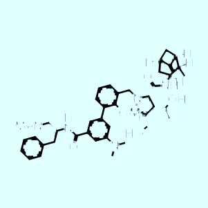 C=C1[C@H]2C[C@H](NC(=O)[C@@H]3[C@H]([C@H](C)O)[C@H](CO)ON3Cc3cccc(-c4cc(C(=O)N[C@H](CNC)Cc5ccccc5)cc(N(C)C)c4)c3OC)[C@@H](C)[C@@H]1C2